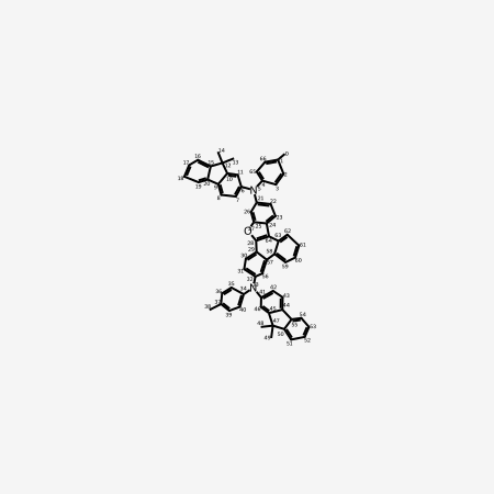 Cc1ccc(N(c2ccc3c(c2)C(C)(C)c2ccccc2-3)c2ccc3c(c2)oc2c4ccc(N(c5ccc(C)cc5)c5ccc6c(c5)C(C)(C)c5ccccc5-6)cc4c4ccccc4c32)cc1